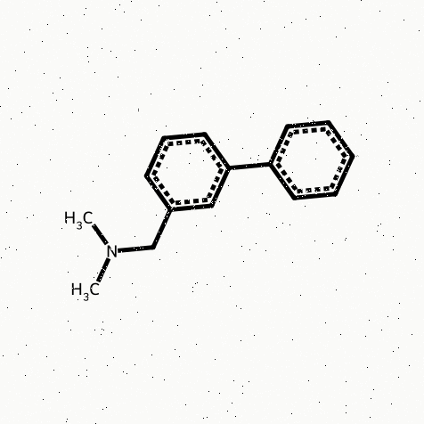 CN(C)Cc1cccc(-c2cc[c]cc2)c1